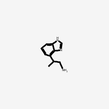 CC(CN)c1cccc2[nH]cnc12